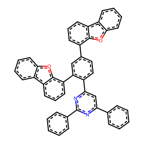 c1ccc(-c2cc(-c3ccc(-c4cccc5c4oc4ccccc45)cc3-c3cccc4c3oc3ccccc34)nc(-c3ccccc3)n2)cc1